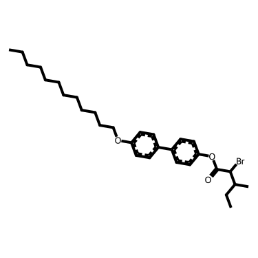 CCCCCCCCCCCCOc1ccc(-c2ccc(OC(=O)C(Br)C(C)CC)cc2)cc1